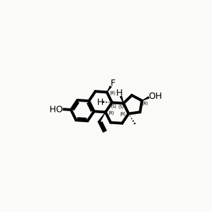 C=C[C@]12CC[C@]3(C)C[C@H](O)C[C@H]3[C@@H]1[C@H](F)Cc1cc(O)ccc12